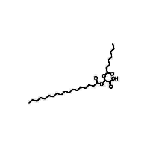 CCCCCCCCCCCCCCCCCC(=O)OC(OC(=O)CCCCCCC)C(=O)O